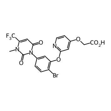 Cn1c(C(F)(F)F)cc(=O)n(-c2ccc(Br)c(Oc3cc(OCC(=O)O)ccn3)c2)c1=O